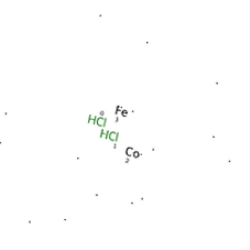 Cl.Cl.[Co].[Fe]